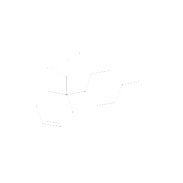 CC1CCC(C2(C=O)CC=CCC2)C(C)C1